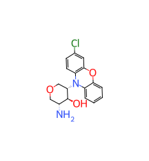 N[C@@H]1COC[C@H](N2c3ccccc3Oc3cc(Cl)ccc32)[C@H]1O